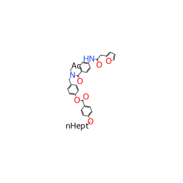 CCCCCCCOc1ccc(C(=O)Oc2ccc(CN(CC(C)=O)C(=O)c3ccc(NC(=O)Cc4ccco4)cc3)cc2)cc1